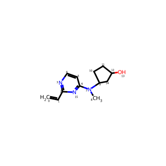 C=Cc1nccc(N(C)C2CCC(O)C2)n1